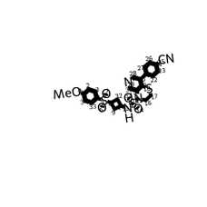 COc1ccc(S(=O)(=O)C2CC(NS(=O)(=O)N3CCSc4c(-c5ccc(C#N)cc5)cncc43)C2)cc1